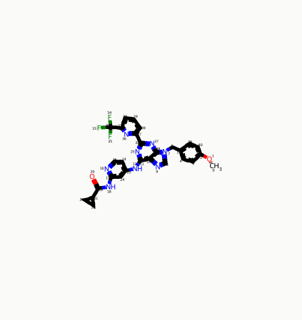 COc1ccc(Cn2cnc3c(Nc4ccnc(NC(=O)C5CC5)c4)nc(-c4cccc(C(F)(F)F)n4)nc32)cc1